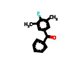 Cc1cc(C(=O)c2ccccc2)cc(C)c1F